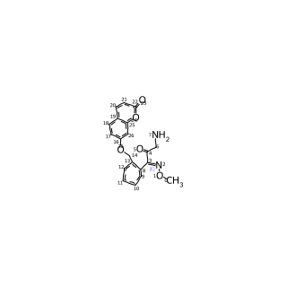 CO/N=C(/C(=O)CN)c1ccccc1COc1ccc2ccc(=O)oc2c1